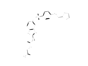 NC(=O)CNC(=O)Nc1nc2cc(OS(=O)(=O)c3ccc(NCC4CCCO4)cc3)ccc2[nH]1